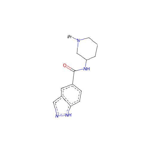 CC(C)N1CCCC(NC(=O)c2ccc3[nH]ncc3c2)C1